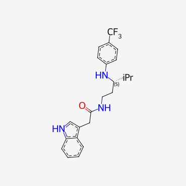 CC(C)[C@H](CCNC(=O)Cc1c[nH]c2ccccc12)Nc1ccc(C(F)(F)F)cc1